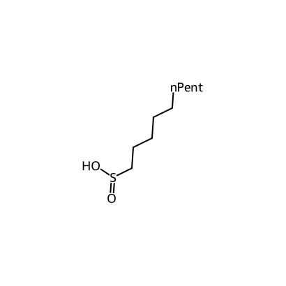 CCCCCCCCCCS(=O)O